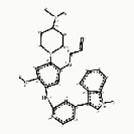 C=CC(=O)Nc1cc(Nc2nccc(-c3cn(C)c4ccccc34)n2)c(OC)cc1N1CCC(N(C)C)CC1